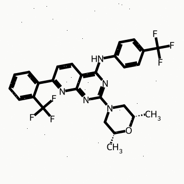 C[C@@H]1CN(c2nc(Nc3ccc(C(F)(F)F)cc3)c3ccc(-c4ccccc4C(F)(F)F)nc3n2)C[C@H](C)O1